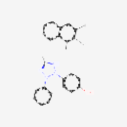 CC(C)c1cc2ccccc2c(S(=O)(=O)O)c1C(C)C.CC1=NN(c2ccccc2)N(c2ccc(O)cc2)N1